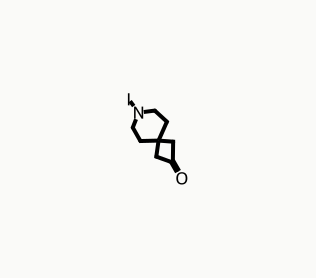 O=C1CC2(CCN(I)CC2)C1